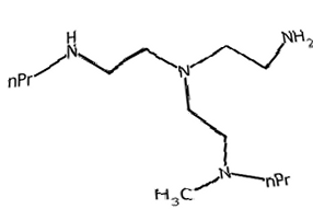 CCCNCCN(CCN)CCN(C)CCC